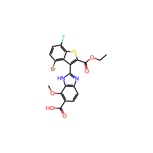 CCOC(=O)c1sc2c(F)ccc(Br)c2c1-c1nc2ccc(C(=O)O)c(OC)c2[nH]1